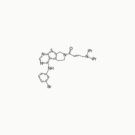 CC(C)N(CC=CC(=O)N1CCc2c(sc3ncnc(Nc4cccc(Br)c4)c23)C1)C(C)C